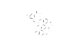 NC(=O)c1ccc(C(=O)O)cc1.NC(=O)c1ccc(C(=O)O)cc1.NC(=O)c1ccc(C(=O)O)cc1.O=C(O)c1cc(C(=O)O)cc(C(=O)O)c1